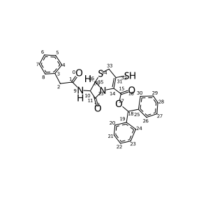 O=C(Cc1ccccc1)NC1C(=O)N2C(C(=O)OC(c3ccccc3)c3ccccc3)=C(S)CS[C@H]12